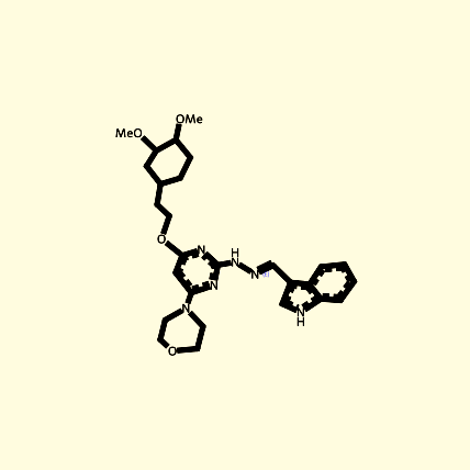 COC1CCC(CCOc2cc(N3CCOCC3)nc(N/N=C/c3c[nH]c4ccccc34)n2)CC1OC